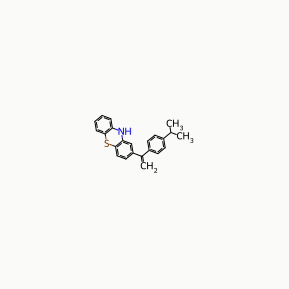 C=C(c1ccc(C(C)C)cc1)c1ccc2c(c1)Nc1ccccc1S2